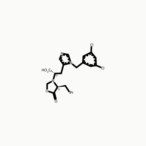 CC(C)C[C@H]1C(=O)OCN1[C@@H](Cc1cncn1Cc1cc(Cl)cc(Cl)c1)C(=O)O